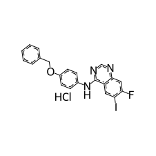 Cl.Fc1cc2ncnc(Nc3ccc(OCc4ccccc4)cc3)c2cc1I